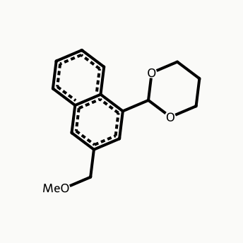 COCc1cc(C2OCCCO2)c2ccccc2c1